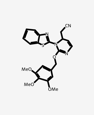 COc1cc(COC2=NC=CC(CC#N)N2c2nc3ccccc3s2)cc(OC)c1OC